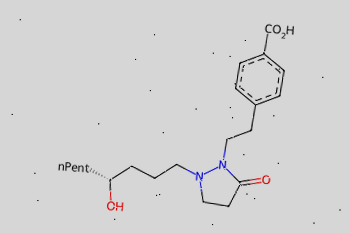 CCCCC[C@@H](O)CCCN1CCC(=O)N1CCc1ccc(C(=O)O)cc1